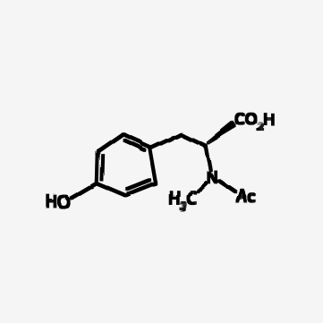 CC(=O)N(C)[C@@H](Cc1ccc(O)cc1)C(=O)O